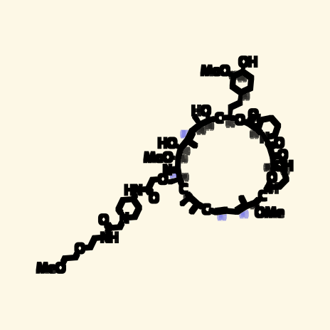 COCCOCCNC(=O)CN1CCC(NC(=O)CO/N=C2\[C@H](C)C[C@H](C)C(C)C/C=C/C=C(\C)[C@@H](OC)C[C@@H]3CC[C@@H](C)[C@@](O)(O3)C(=O)C(=O)N3CCCC[C@H]3C(=O)O[C@H](CC[C@@H]3CC[C@@H](O)[C@H](OC)C3)C[C@@H](O)[C@H](C)/C=C(\C)[C@@H](O)[C@H]2OC)CC1